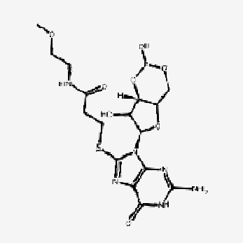 COCCNC(=O)CCSc1nc2c(=O)[nH]c(N)nc2n1[C@@H]1OC2COP(O)O[C@H]2C1O